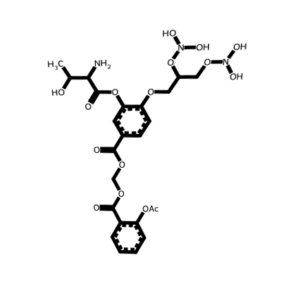 CC(=O)Oc1ccccc1C(=O)OCOC(=O)c1ccc(OCC(CON(O)O)ON(O)O)c(OC(=O)C(N)C(C)O)c1